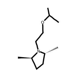 CC(C)OCCN1[C@H](C)CC[C@H]1C